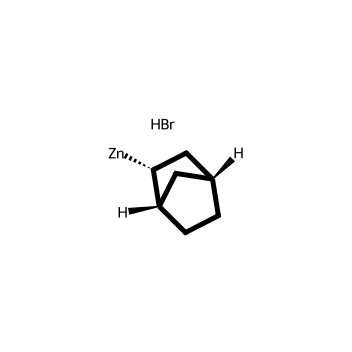 Br.[Zn][C@@H]1C[C@@H]2CC[C@H]1C2